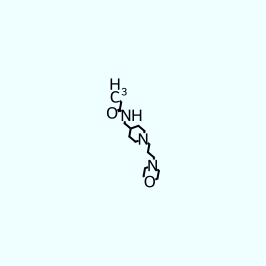 CCC(=O)NCC1CCN(CCCN2CCOCC2)CC1